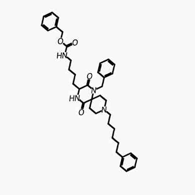 O=C(NCCCCC1NC(=O)C2(CCN(CCCCCCc3ccccc3)CC2)N(Cc2ccccc2)C1=O)OCc1ccccc1